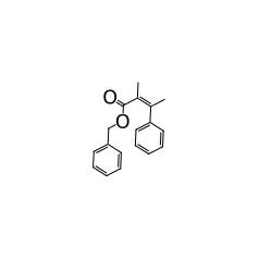 CC(C(=O)OCc1ccccc1)=C(C)c1ccccc1